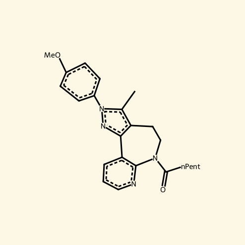 CCCCCC(=O)N1CCc2c(nn(-c3ccc(OC)cc3)c2C)-c2cccnc21